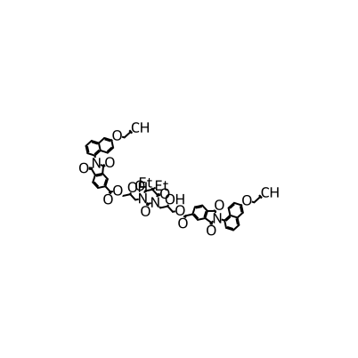 C#CCOc1ccc2c(N3C(=O)c4ccc(C(=O)OCC(O)CN5C(=O)N(CC(O)COC(=O)c6ccc7c(c6)C(=O)N(c6cccc8cc(OCC#C)ccc68)C7=O)C(=O)C(CC)(CC)C5=O)cc4C3=O)cccc2c1